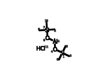 C[Si](C)(C)[O][Al][O][Si](C)(C)C.Cl